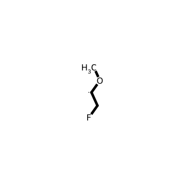 CO[CH]CF